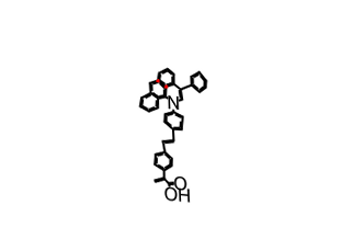 C=C(C(=O)O)c1ccc(C=Cc2ccc(N(C=C(c3ccccc3)c3ccccc3)c3cccc4ccccc34)cc2)cc1